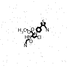 CCOC(=O)c1c(NC(=O)CC#N)cc(Cl)n1-c1ccc(-c2cscc2C#N)cc1